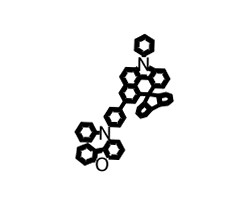 c1ccc(N(c2ccc(-c3cc4c5c(ccc6c5c5c(cccc5n6-c5ccccc5)C45c4ccccc4-c4ccccc45)c3)cc2)c2cccc3oc4ccccc4c23)cc1